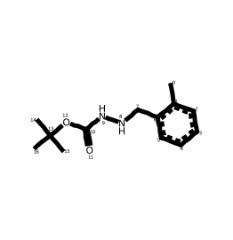 Cc1ccccc1CNNC(=O)OC(C)(C)C